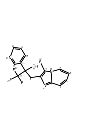 OC(Cc1nc2ccccn2c1F)(c1cccnc1)C(F)(F)F